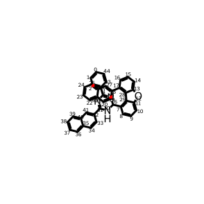 c1ccc(C2=NC(c3cccc4oc5cccc(-c6ccc7ccccc7c6)c5c34)NC(c3ccc4ccccc4c3)=N2)cc1